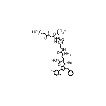 CC(C)(C)[C@H](c1cc(-c2cc(F)ccc2F)cn1Cc1ccccc1)N(CC[C@H](N)C(=O)NCCNC(=O)[C@@H](CCC(=O)O)NC(=O)CNC(=O)CCC(=O)O)C(=O)CO